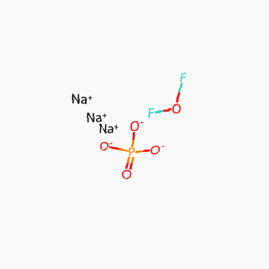 FOF.O=P([O-])([O-])[O-].[Na+].[Na+].[Na+]